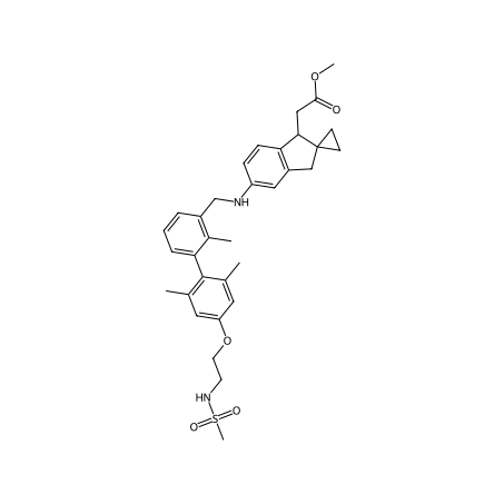 COC(=O)CC1c2ccc(NCc3cccc(-c4c(C)cc(OCCNS(C)(=O)=O)cc4C)c3C)cc2CC12CC2